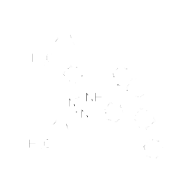 CC1C=CC(C2=NC(c3cccc(-c4c(-c5ccc(-c6ccccc6)cc5)ccc5ccccc45)c3)NC(c3ccc(C4C=CC=CC4C)cc3)=N2)=CC1